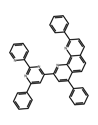 c1ccc(-c2cc(-c3cc(-c4ccccc4)c4ccc5ccc(-c6ccccc6)nc5c4n3)nc(-c3ccccn3)n2)cc1